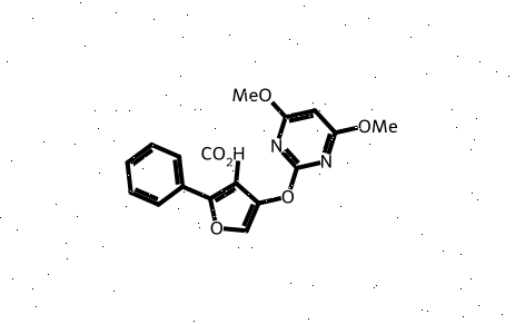 COc1cc(OC)nc(Oc2coc(-c3ccccc3)c2C(=O)O)n1